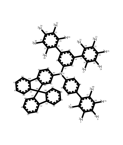 [2H]c1c([2H])c([2H])c(-c2ccc(N(c3cc(-c4c([2H])c([2H])c([2H])c([2H])c4[2H])cc(-c4c([2H])c([2H])c([2H])c([2H])c4[2H])c3)c3ccc4c(c3)C3(c5ccccc5-c5ccccc53)c3ccccc3-4)cc2)c([2H])c1[2H]